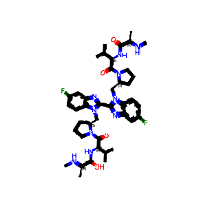 CN[C@H](C)C(=O)N[C@@H](C(=O)N1CCC[C@H]1Cn1c(-c2nc3cc(F)ccc3n2C[C@@H]2CCCN2C(=O)[C@H](NC(O)[C@@H](C)NC)C(C)C)nc2cc(F)ccc21)C(C)C